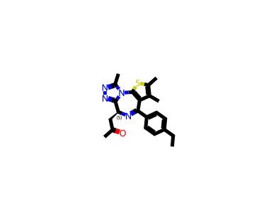 CCc1ccc(C2=N[C@@H](CC(C)=O)c3nnc(C)n3-c3sc(C)c(C)c32)cc1